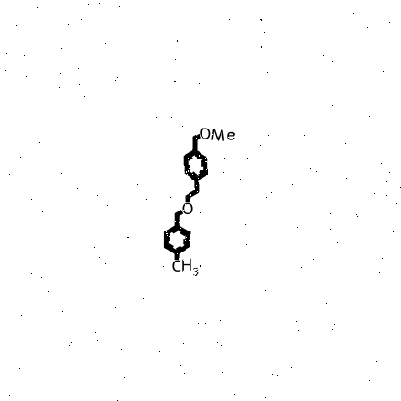 COCc1ccc(CCOCc2ccc(C)cc2)cc1